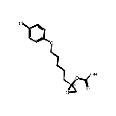 O=C(O)O[C@]1(CCCCCOc2ccc(Cl)cc2)CO1